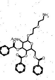 CC(=O)NC1C(OCCOCCN)OC(COC(=O)c2ccccc2)C(OC(=O)c2ccccc2)C1OC(=O)c1ccccc1